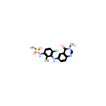 CCCS(=O)(=O)Nc1ccc(Cl)c(Nc2ccc3ncn(C)c(=O)c3c2)c1C#N